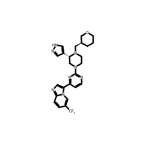 FC(F)(F)c1ccc2ncc(-c3ccnc(N4CCN(C[C@@H]5CCCOC5)[C@@H](c5cn[nH]c5)C4)n3)n2c1